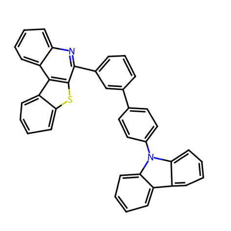 c1cc(-c2ccc(-n3c4ccccc4c4ccccc43)cc2)cc(-c2nc3ccccc3c3c2sc2ccccc23)c1